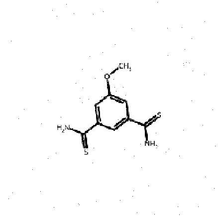 COc1cc(C(N)=S)cc(C(N)=S)c1